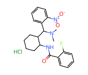 CN(C)C(c1ccccc1[N+](=O)[O-])C1CCCCC1NC(=O)c1ccccc1F.Cl